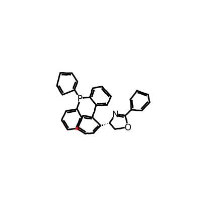 c1ccc(C2=N[C@@H](c3ccccc3-c3ccccc3P(c3ccccc3)c3ccccc3)CO2)cc1